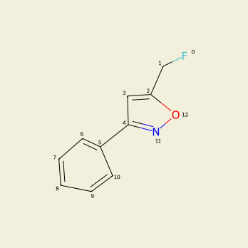 FCc1cc(-c2ccccc2)no1